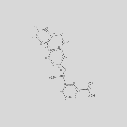 O=C(O)c1cccc(C(=O)Nc2ccc3c(c2)OCc2cnccc2-3)c1